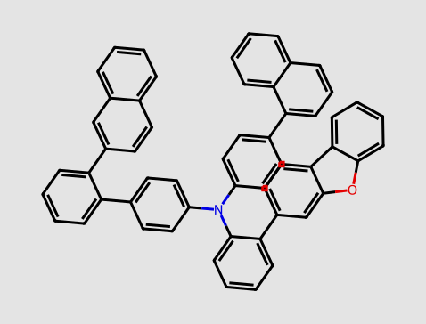 c1ccc(-c2ccc3ccccc3c2)c(-c2ccc(N(c3ccc(-c4cccc5ccccc45)cc3)c3ccccc3-c3ccc4c(c3)oc3ccccc34)cc2)c1